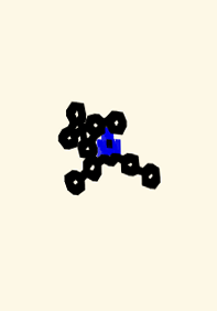 c1ccc(-c2ccc(-c3cc(-c4ccc(-c5ccccc5)cc4)nc(-n4c5ccccc5c5ccc6c(c54)-c4ccccc4C64c5ccccc5-c5ccccc54)n3)cc2)cc1